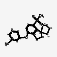 CS(=O)(=O)c1ccc(Oc2cncc(C#N)c2)c2c1C1(CC2)OCCO1